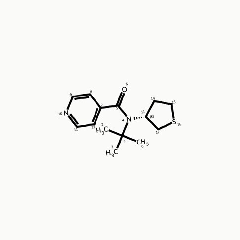 CC(C)(C)N(C(=O)c1ccncc1)[C@@H]1CCSC1